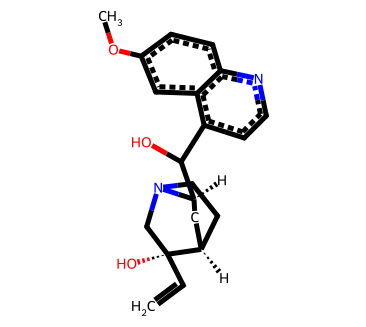 C=C[C@@]1(O)CN2CC[C@@H]1C[C@@H]2C(O)c1ccnc2ccc(OC)cc12